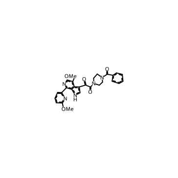 COc1cccc(-c2ncc(OC)c3c(C(=O)C(=O)N4CCN(C(=O)c5ccccc5)CC4)c[nH]c23)n1